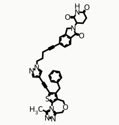 Cc1nnc2n1-c1sc(C#Cc3cnn(CCCC#Cc4ccc5c(c4)CN(C4CCC(=O)NC4=O)C5=O)c3)c(Cc3ccccc3)c1COC2